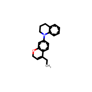 CCC1=CCOc2cc(N3CCCc4ccccc43)ccc21